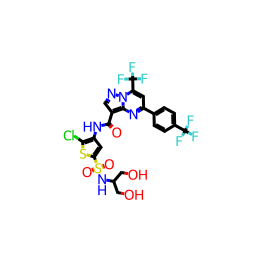 O=C(Nc1cc(S(=O)(=O)NC(CO)CO)sc1Cl)c1cnn2c(C(F)(F)F)cc(-c3ccc(C(F)(F)F)cc3)nc12